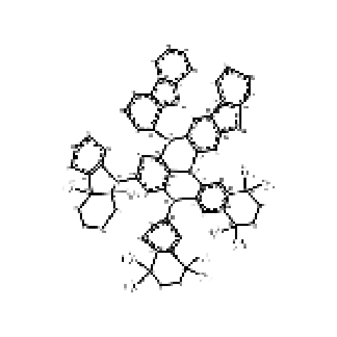 CC1(C)CCC(C)(C)c2cc(N3c4cc5c(cc4B4c6cc7sc8ccccc8c7cc6N(c6cccc7c6sc6ccccc67)c6cc(N7c8ccccc8C8(C)CCCCC78C)cc3c64)C(C)(C)CCC5(C)C)ccc21